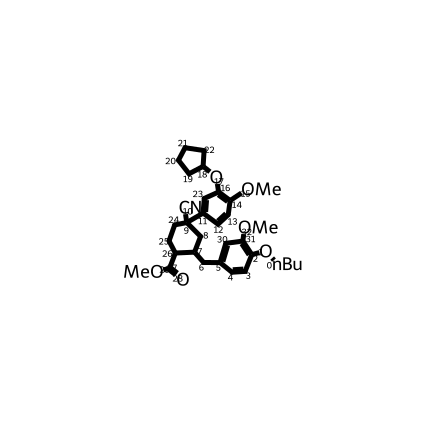 CCCCOc1ccc(CC2CC(C#N)(c3ccc(OC)c(OC4CCCC4)c3)CCC2C(=O)OC)cc1OC